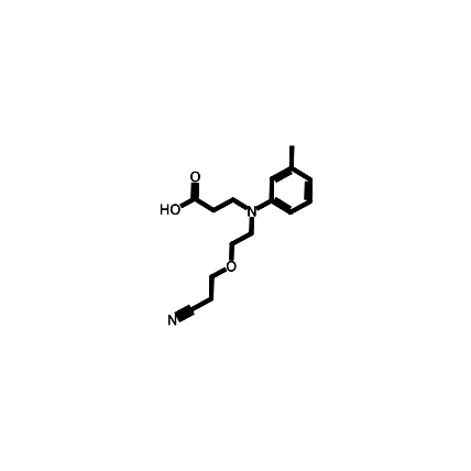 Cc1cccc(N(CCOCCC#N)CCC(=O)O)c1